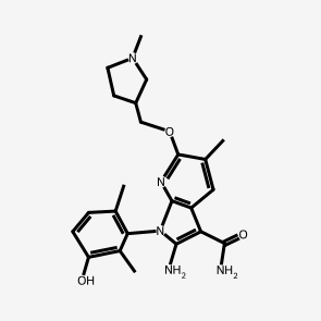 Cc1cc2c(C(N)=O)c(N)n(-c3c(C)ccc(O)c3C)c2nc1OCC1CCN(C)C1